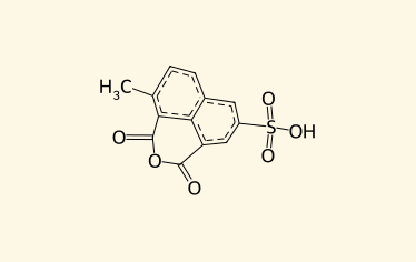 Cc1ccc2cc(S(=O)(=O)O)cc3c2c1C(=O)OC3=O